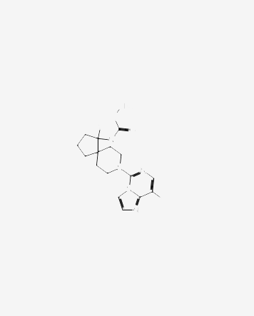 Cc1cnc(N2CCC3(CCCC3(C)NC(=O)OC(C)(C)C)CC2)n2ccnc12